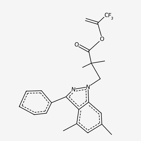 C=C(OC(=O)C(C)(C)Cn1nc(-c2ccccc2)c2c(C)cc(C)cc21)C(F)(F)F